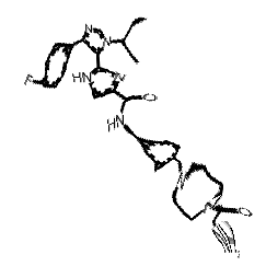 CC(C)n1cnc(-c2ccc(F)cc2)c1-c1nc(C(=O)Nc2ccc(N3CCN(C(N)=O)CC3)cc2)c[nH]1